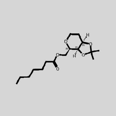 CCCCCCC(=O)OC[C@H]1OCC[C@H]2OC(C)(C)O[C@@H]12